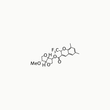 CO[C@@H]1CO[C@H]2[C@@H]1OC[C@@H]2OC(=O)C1=Cc2cc(C)cc(C)c2OC1C(F)(F)F